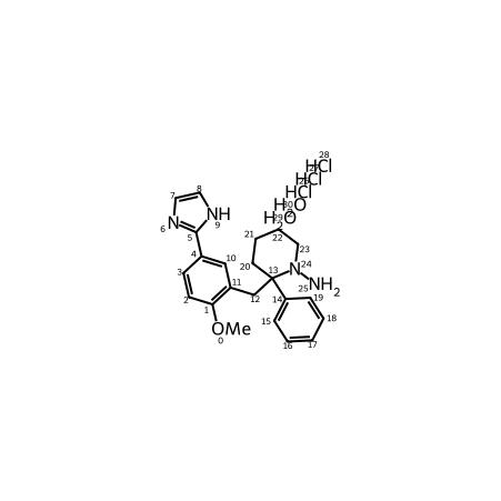 COc1ccc(-c2ncc[nH]2)cc1CC1(c2ccccc2)CCCCN1N.Cl.Cl.Cl.O.O